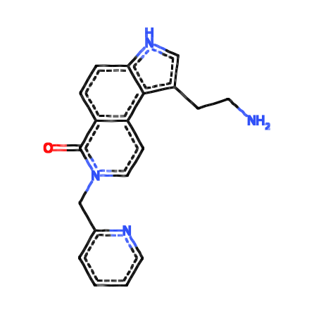 NCCc1c[nH]c2ccc3c(=O)n(Cc4ccccn4)ccc3c12